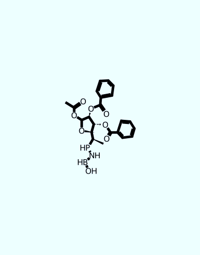 CC(=O)OC1O[C@H]([C@@H](C)PNBO)[C@@H](OC(=O)c2ccccc2)[C@H]1OC(=O)c1ccccc1